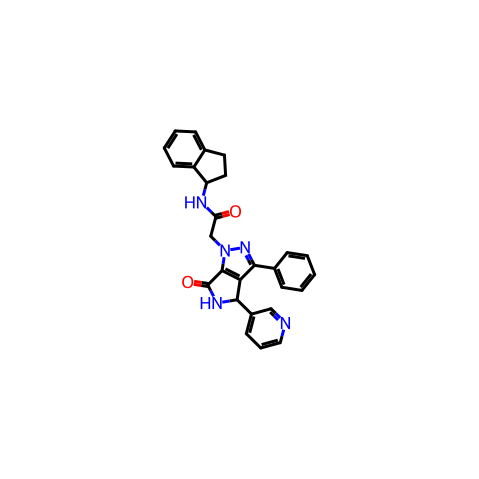 O=C(Cn1nc(-c2ccccc2)c2c1C(=O)NC2c1cccnc1)NC1CCc2ccccc21